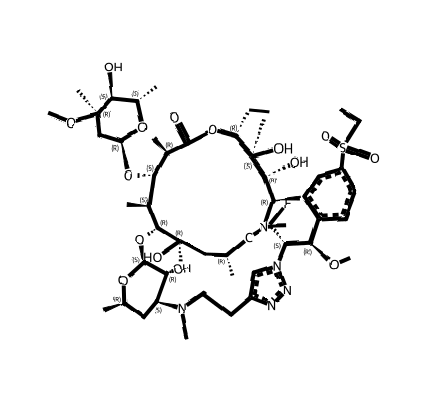 CC[C@H]1OC(=O)[C@H](C)[C@@H](O[C@H]2C[C@@](C)(OC)[C@@H](O)[C@H](C)O2)[C@H](C)[C@@H](O[C@@H]2O[C@H](C)C[C@H](N(C)CCc3cn([C@H](CF)[C@H](OC)c4ccc(S(=O)(=O)CC)cc4)nn3)[C@H]2O)[C@](C)(O)C[C@@H](C)CN(C)[C@H](C)[C@@H](O)[C@]1(C)O